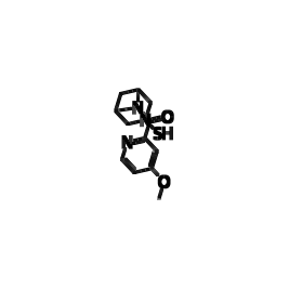 COc1ccnc(C(=O)N2C3CC2CN(S)C3)c1